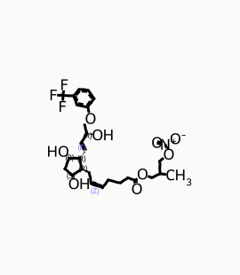 CC(COC(=O)CCC/C=C\C[C@@H]1[C@@H](/C=C/[C@@H](O)COc2cccc(C(F)(F)F)c2)[C@H](O)C[C@@H]1O)CO[N+](=O)[O-]